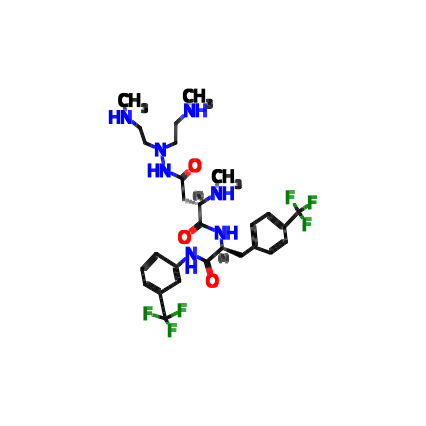 CNCCN(CCNC)NC(=O)C[C@H](NC)C(=O)N[C@@H](Cc1ccc(C(F)(F)F)cc1)C(=O)Nc1cccc(C(F)(F)F)c1